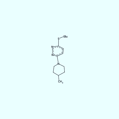 CC1CCN(c2ccc(SC(C)(C)C)nn2)CC1